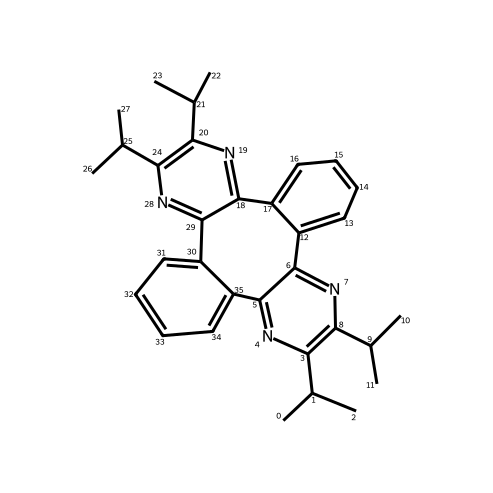 CC(C)c1nc2c(nc1C(C)C)-c1ccccc1-c1nc(C(C)C)c(C(C)C)nc1-c1ccccc1-2